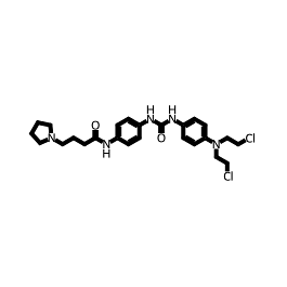 O=C(CCCN1CCCC1)Nc1ccc(NC(=O)Nc2ccc(N(CCCl)CCCl)cc2)cc1